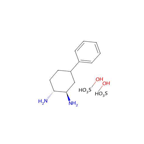 N[C@@H]1CCC(c2ccccc2)C[C@H]1N.O=S(=O)(O)O.O=S(=O)(O)O